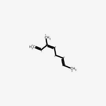 C=CC(C)=CC/C=[C]/C